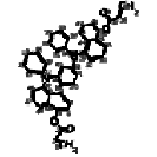 C=CC(=O)Oc1cccc2c(N(c3ccccc3)c3cccc(N(c4ccccc4)c4cccc5c(OC(=O)C=C)cccc45)c3)cccc12